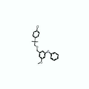 COc1cc(COCC(C)(C)c2ccc(Cl)cc2)cc(Oc2ccccc2)c1